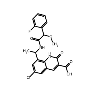 COC(C(=O)NC(C)c1cc(Cl)cc2cc(C(=O)O)c(=O)[nH]c12)c1ccccc1F